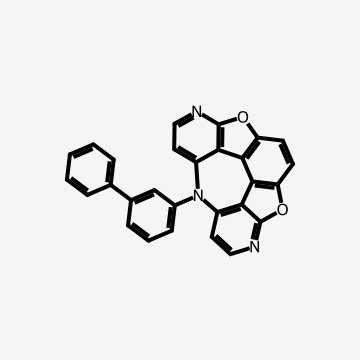 c1ccc(-c2cccc(-n3c4ccnc5oc6ccc7oc8nccc3c8c7c6c54)c2)cc1